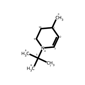 CC1C=CN(C(C)(C)C)CC1